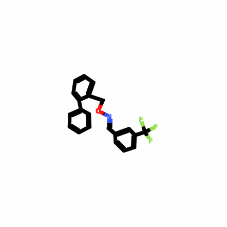 FC(F)(F)c1cccc(/[C]=N/OCc2ccccc2-c2ccccc2)c1